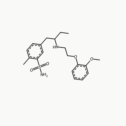 CCC(Cc1ccc(C)c(S(N)(=O)=O)c1)NCCOc1ccccc1OC